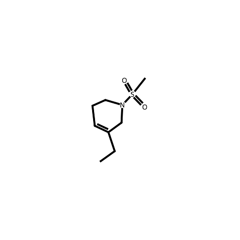 CCC1=CCCN(S(C)(=O)=O)C1